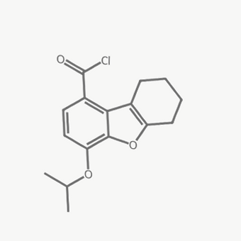 CC(C)Oc1ccc(C(=O)Cl)c2c3c(oc12)CCCC3